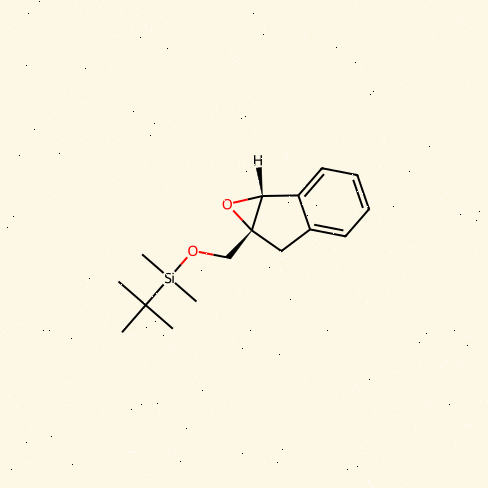 CC(C)(C)[Si](C)(C)OC[C@]12Cc3ccccc3[C@H]1O2